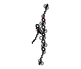 C=CC(=O)OCCCCCCOc1ccc(OC(=O)C2CCC(C(=O)Oc3ccc(OC(=O)C4CCC(C(=O)Oc5ccc(OCCCCCCOC(=O)C=C)cc5)CC4)c(/C=N/N(CCCCCCC#CCC)c4nc5ccccc5s4)c3)CC2)cc1